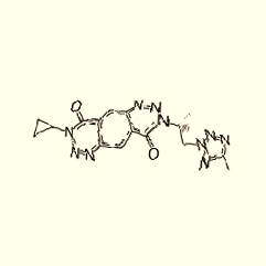 Cc1nnn(C[C@@H](C)n2nnc3cc4c(=O)n(C5CC5)nnc4cc3c2=O)n1